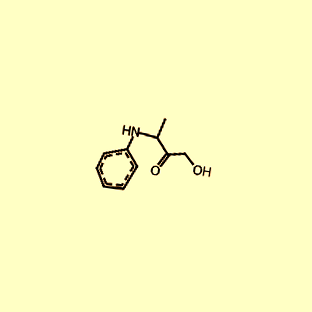 CC(Nc1ccccc1)C(=O)CO